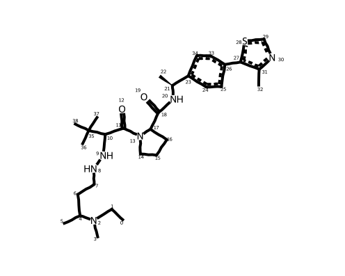 CCN(C)C(C)CCNNC(C(=O)N1CCCC1C(=O)N[C@@H](C)c1ccc(-c2scnc2C)cc1)C(C)(C)C